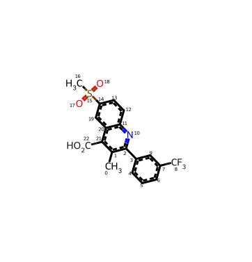 Cc1c(-c2cccc(C(F)(F)F)c2)nc2ccc(S(C)(=O)=O)cc2c1C(=O)O